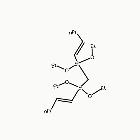 CCCC=C[Si](C[Si](C=CCCC)(OCC)OCC)(OCC)OCC